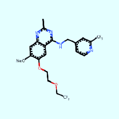 COc1cc2nc(C)nc(NCc3ccnc(C(F)(F)F)c3)c2cc1OCCOCC(F)(F)F